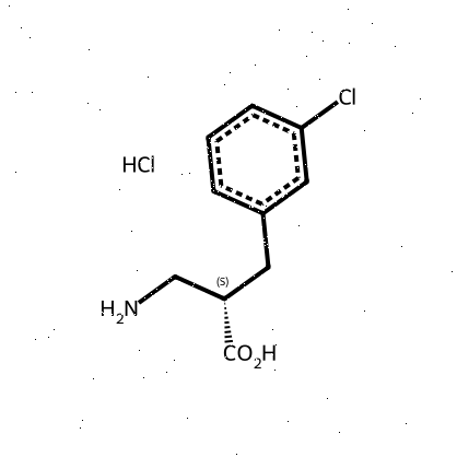 Cl.NC[C@H](Cc1cccc(Cl)c1)C(=O)O